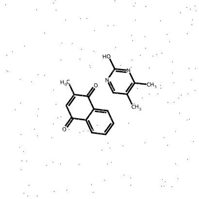 CC1=CC(=O)c2ccccc2C1=O.Cc1cnc(O)nc1C